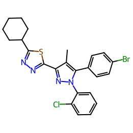 Cc1c(-c2nnc(C3CCCCC3)s2)nn(-c2ccccc2Cl)c1-c1ccc(Br)cc1